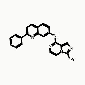 CC(C)c1ncc2c(Nc3ccc4ccc(-c5ccccc5)nc4c3)nccn12